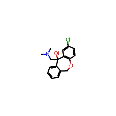 CN(C)CC1(O)c2ccccc2COc2ccc(Cl)cc21